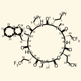 CC(C)CC[C@H]1C(=O)N[C@@H](CC(C)C)C(=O)N(C)[C@@H](Cc2csc3ccccc23)C(=O)N[C@@H](CCC(F)(F)F)C(=O)N(C)[C@@H](C)C(=O)O[C@H](CCC#N)C(=O)N[C@@H](CC(F)(F)F)C(=O)N1C